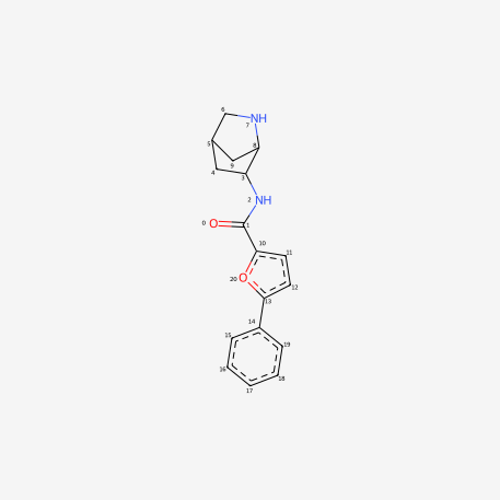 O=C(NC1CC2CNC1C2)c1ccc(-c2ccccc2)o1